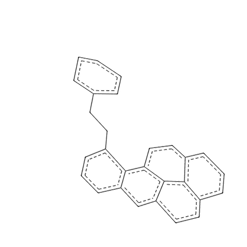 c1ccc(CCc2cccc3cc4ccc5cccc6ccc(c23)c4c56)cc1